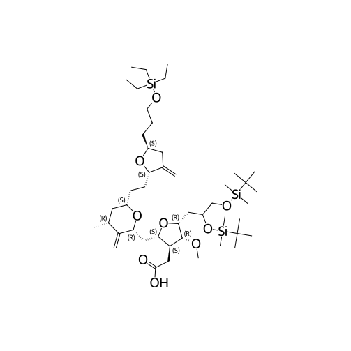 C=C1C[C@H](CCCO[Si](CC)(CC)CC)O[C@H]1CC[C@H]1C[C@@H](C)C(=C)[C@@H](C[C@@H]2O[C@H](CC(CO[Si](C)(C)C(C)(C)C)O[Si](C)(C)C(C)(C)C)[C@H](OC)[C@H]2CC(=O)O)O1